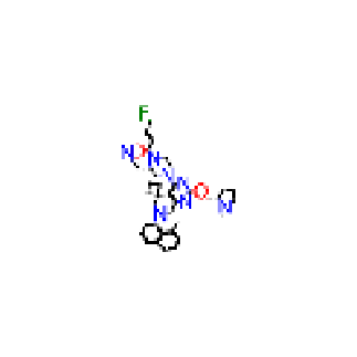 Cc1cccc2cccc(N3Cc4nc(OC[C@@H]5CCCN5C)nc(N5CCN(C(=O)/C=C/CF)[C@@H](CC#N)C5)c4C4(CCC4)C3)c12